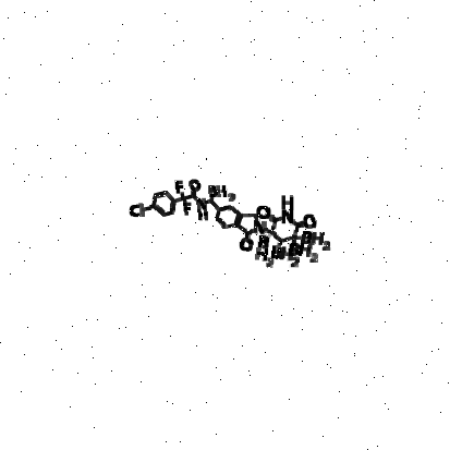 BC(NC(=O)C(F)(F)c1ccc(Cl)cc1)c1ccc2c(c1)CN([C@@]1(B)C(=O)NC(=O)C(B)(B)C1B)C2=O